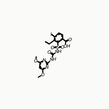 CCc1c(I)ccc(C(=O)O)c1S(=O)(=O)NC(=O)Nc1nc(OC)cc(OC)n1